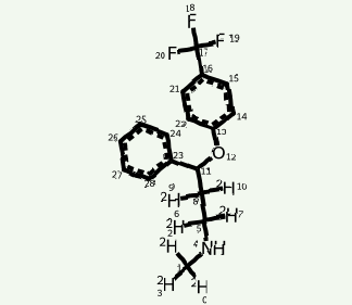 [2H]C([2H])([2H])NC([2H])([2H])C([2H])([2H])C(Oc1ccc(C(F)(F)F)cc1)c1ccccc1